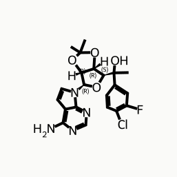 CC1(C)O[C@@H]2[C@H](O1)[C@@H](C(C)(O)c1ccc(Cl)c(F)c1)O[C@H]2n1ccc2c(N)ncnc21